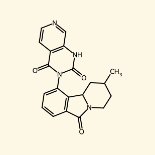 CC1CCN2C(=O)c3cccc(-n4c(=O)[nH]c5cnccc5c4=O)c3C2C1